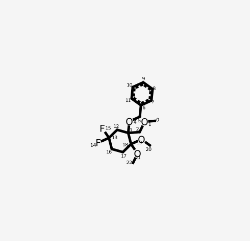 COCC1(OCc2ccccc2)CC(F)(F)CCC1(OC)OC